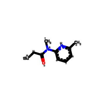 Cc1cccc(N(C)C(=O)CC(C)(C)C)n1